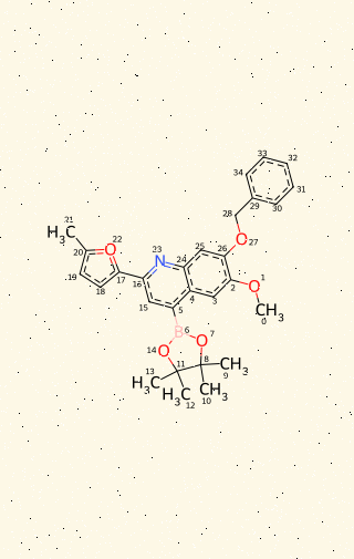 COc1cc2c(B3OC(C)(C)C(C)(C)O3)cc(-c3ccc(C)o3)nc2cc1OCc1ccccc1